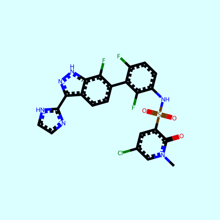 Cn1cc(Cl)cc(S(=O)(=O)Nc2ccc(F)c(-c3ccc4c(-c5ncc[nH]5)n[nH]c4c3F)c2F)c1=O